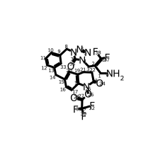 NCC(Cn1nnn(Cc2cccc(Cc3ccc4c(c3)CCC(=O)N4OC(=O)C(F)(F)F)c2)c1=O)=C(F)F